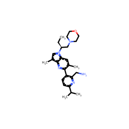 CC[C@@H](CN1CCOCC1)n1cc(C)c2nc(-c3ccc(C(C)C)nc3CN)c(C)cc21